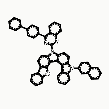 c1ccc(-c2ccc(-c3nc(-n4c5ccc6c7ccccc7oc6c5c5c6c7ccccc7n(-c7ccc8ccccc8c7)c6ccc54)nc4ccccc34)cc2)cc1